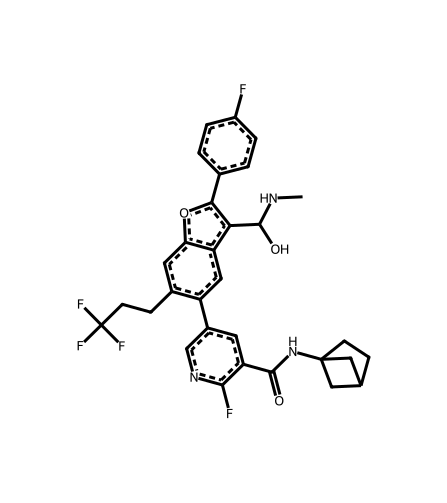 CNC(O)c1c(-c2ccc(F)cc2)oc2cc(CCC(F)(F)F)c(-c3cnc(F)c(C(=O)NC45CCC(C4)C5)c3)cc12